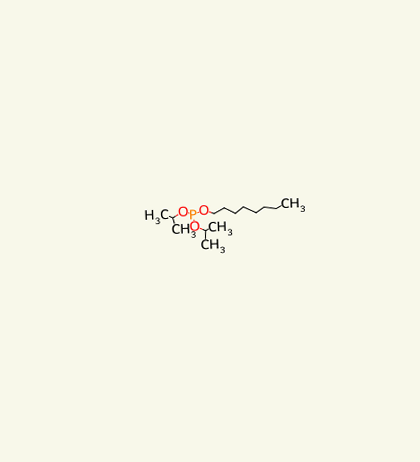 CCCCCCCCOP(OC(C)C)OC(C)C